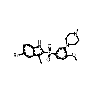 COc1ccc(S(=O)(=O)c2[nH]c3ccc(Br)cc3c2C)cc1N1CCN(C)CC1